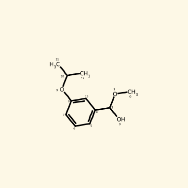 COC(O)c1cccc(OC(C)C)c1